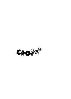 CC(C(=O)NCCN(C)C)c1ccc(-c2cn3ccccc3n2)cc1